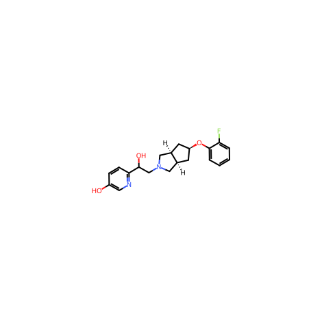 Oc1ccc(C(O)CN2C[C@H]3C[C@@H](Oc4ccccc4F)C[C@H]3C2)nc1